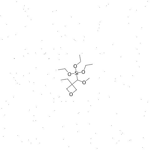 CCO[Si](OCC)(OCC)C(OC)C1(CC)COC1